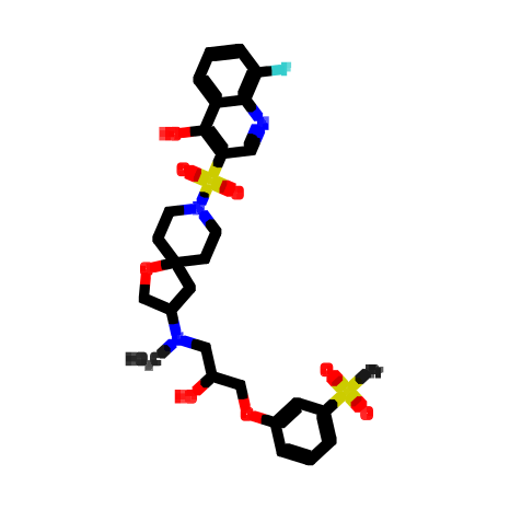 CC(C)S(=O)(=O)c1cccc(OCC(O)CN(C(=O)O)C2COC3(CCN(S(=O)(=O)c4cnc5c(F)cccc5c4O)CC3)C2)c1